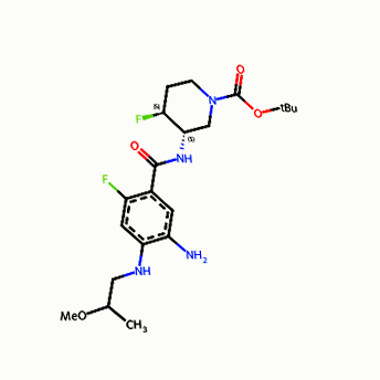 COC(C)CNc1cc(F)c(C(=O)N[C@H]2CN(C(=O)OC(C)(C)C)CC[C@@H]2F)cc1N